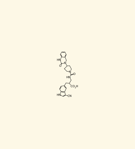 N#Cc1c[nH]c2ccc(CC(CNC(=O)N3CCC(N4Cc5ccccc5NC4=O)CC3)C(=O)O)cc12